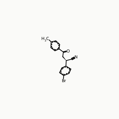 Cc1ccc(C(=O)C[C@@H](C#N)c2ccc(Br)cc2)cc1